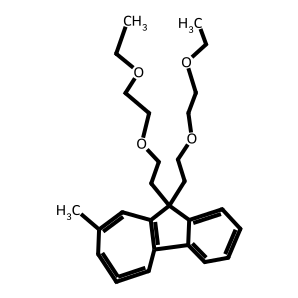 CCOCCOCCC1(CCOCCOCC)C2=C(C=C=CC(C)=C2)c2ccccc21